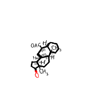 CC(=O)O[C@@H]1C[C@@H]2[C@H](CC[C@]3(C)C(=O)CC[C@@H]23)[C@@]2(C)CCCC[C@H]12